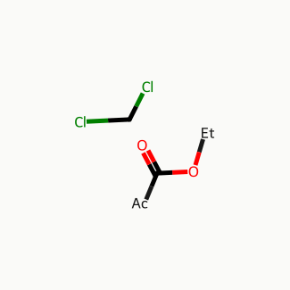 CCOC(=O)C(C)=O.ClCCl